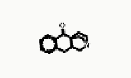 O=C1c2ccccc2CC2CN3CCC12CC3